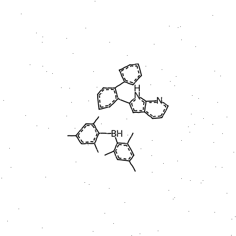 Cc1cc(C)c(Bc2c(C)cc(C)cc2C)c(C)c1.c1ccc(-c2ccccc2-c2cc3cccnc3[nH]2)cc1